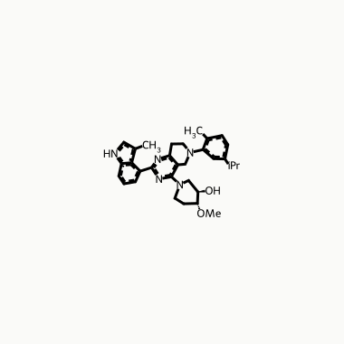 CO[C@@H]1CCN(c2nc(-c3cccc4[nH]cc(C)c34)nc3c2CN(c2cc(C(C)C)ccc2C)CC3)C[C@H]1O